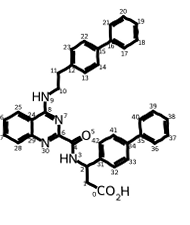 O=C(O)CC(NC(=O)c1nc(NCCc2ccc(-c3ccccc3)cc2)c2ccccc2n1)c1ccc(-c2ccccc2)cc1